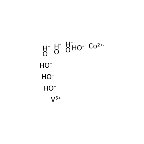 [Co+2].[OH-].[OH-].[OH-].[OH-].[OH-].[OH-].[OH-].[V+5]